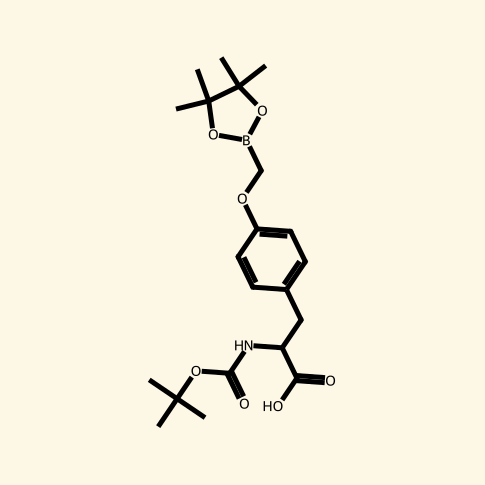 CC(C)(C)OC(=O)NC(Cc1ccc(OCB2OC(C)(C)C(C)(C)O2)cc1)C(=O)O